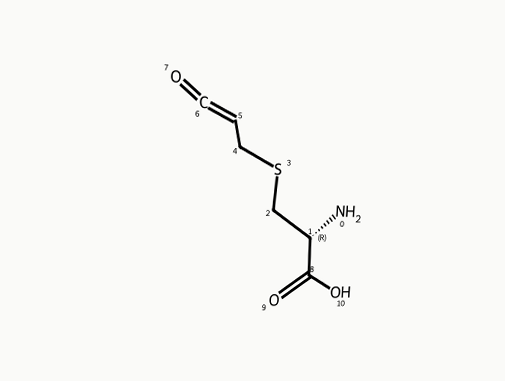 N[C@@H](CSCC=C=O)C(=O)O